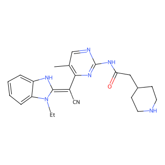 CCN1C(=C(C#N)c2nc(NC(=O)CC3CCNCC3)ncc2C)Nc2ccccc21